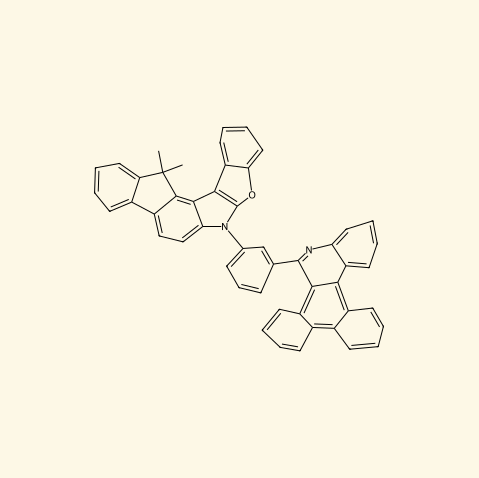 CC1(C)c2ccccc2-c2ccc3c(c21)c1c2ccccc2oc1n3-c1cccc(-c2nc3ccccc3c3c4ccccc4c4ccccc4c23)c1